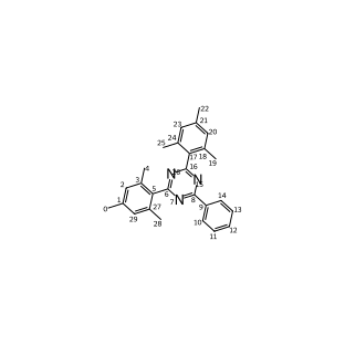 Cc1cc(C)c(-c2nc(-c3ccccc3)nc(-c3c(C)cc(C)cc3C)n2)c(C)c1